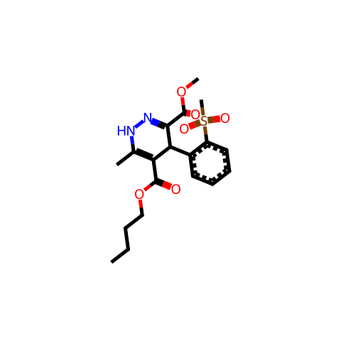 CCCCOC(=O)C1=C(C)NN=C(C(=O)OC)C1c1ccccc1S(C)(=O)=O